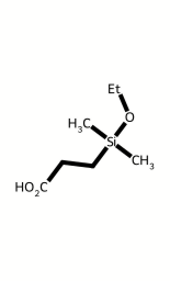 CCO[Si](C)(C)CCC(=O)O